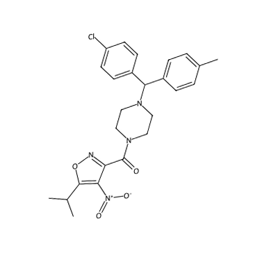 Cc1ccc(C(c2ccc(Cl)cc2)N2CCN(C(=O)c3noc(C(C)C)c3[N+](=O)[O-])CC2)cc1